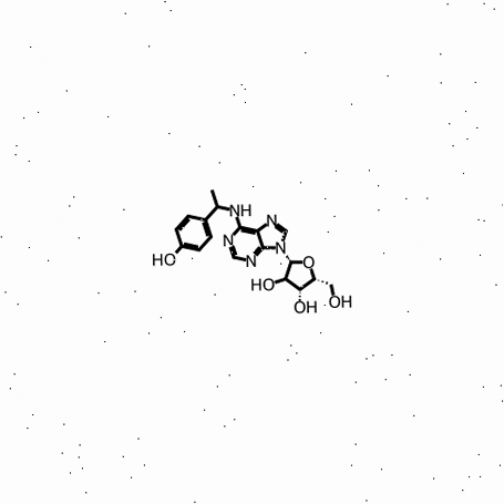 CC(Nc1ncnc2c1ncn2[C@@H]1O[C@H](CO)[C@H](O)C1O)c1ccc(O)cc1